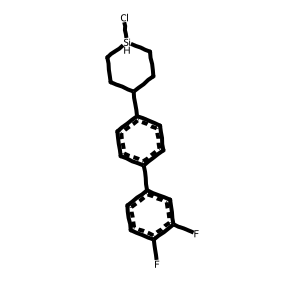 Fc1ccc(-c2ccc(C3CC[SiH](Cl)CC3)cc2)cc1F